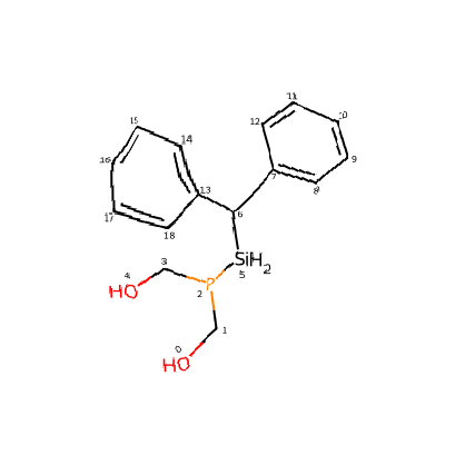 OCP(CO)[SiH2]C(c1ccccc1)c1ccccc1